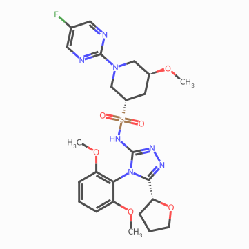 COc1cccc(OC)c1-n1c(NS(=O)(=O)[C@H]2C[C@H](OC)CN(c3ncc(F)cn3)C2)nnc1[C@H]1CCCO1